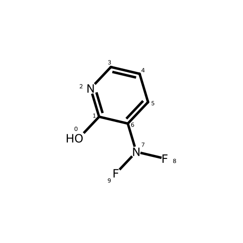 Oc1ncccc1N(F)F